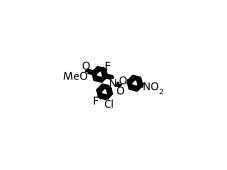 COC(=O)c1ccc(CN(C(=O)Oc2ccc([N+](=O)[O-])cc2)c2ccc(F)c(Cl)c2)c(F)c1